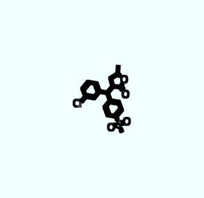 CC1CC(C(c2ccc(S(C)(=O)=O)cc2)c2cccc(Cl)c2)C(=O)O1